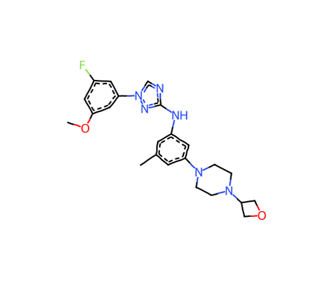 COc1cc(F)cc(-n2cnc(Nc3cc(C)cc(N4CCN(C5COC5)CC4)c3)n2)c1